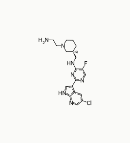 NCCN1CCC[C@@H](CNc2nc(-c3c[nH]c4ncc(Cl)cc34)ncc2F)C1